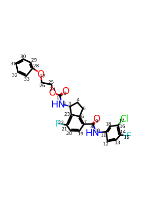 O=C(N[C@H]1CCc2c(C(=O)Nc3ccc(F)c(Cl)c3)ccc(F)c21)OCCOc1ccccc1